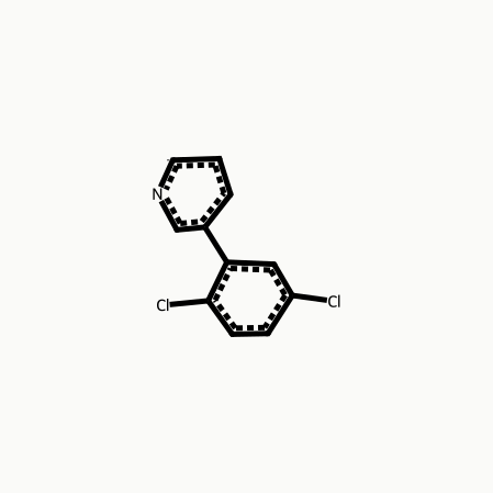 Clc1ccc(Cl)c(-c2cc[c]nc2)c1